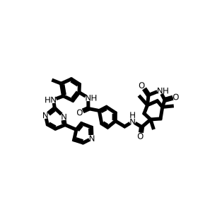 Cc1ccc(NC(=O)c2ccc(CNC(=O)C3(C)CC4(C)CC(C)(C3)C(=O)NC4=O)cc2)cc1Nc1nccc(-c2ccncc2)n1